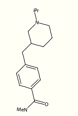 CNC(=O)c1ccc(CC2CCCN(C(C)C)C2)cc1